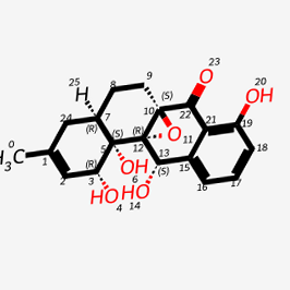 CC1=C[C@@H](O)[C@@]2(O)[C@H](CC[C@]34O[C@]23[C@@H](O)c2cccc(O)c2C4=O)C1